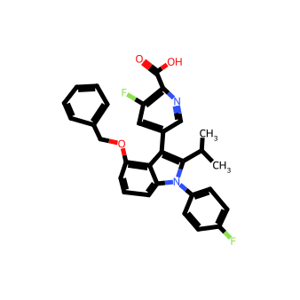 CC(C)c1c(-c2cnc(C(=O)O)c(F)c2)c2c(OCc3ccccc3)cccc2n1-c1ccc(F)cc1